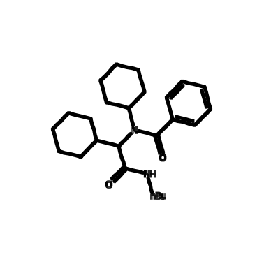 CCCCNC(=O)C(C1CCCCC1)N(C(=O)c1ccccc1)C1CCCCC1